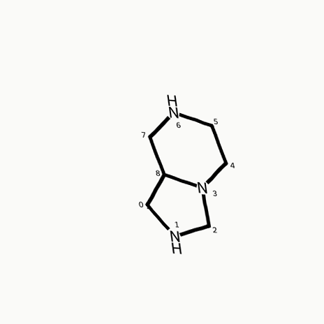 [CH]1NCN2CCNCC12